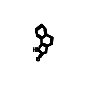 O=C1Cc2ccc3ccccc3c2N1